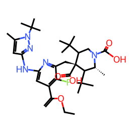 C=C(OCC)c1cc(Nc2cc(C)n(C(C)(C)C)n2)nc(C[C@@]2(C(=O)O)C(C(C)(C)C)CN(C(=O)O)[C@H](C)C2C(C)(C)C)c1F